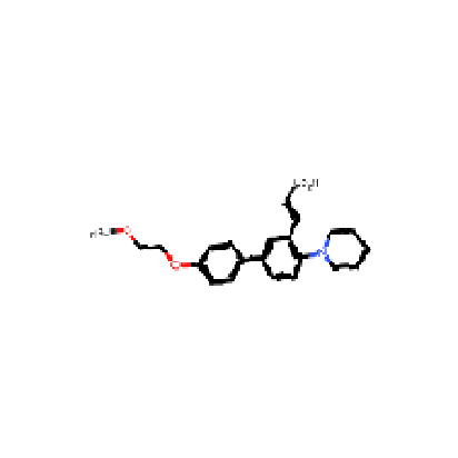 CCCCOCCOc1ccc(-c2ccc(N3CCCCC3)c(C=CC(=O)O)c2)cc1